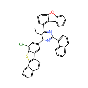 CCC1C(c2cccc3oc4ccccc4c23)=NC(c2cccc3ccccc23)=NC1c1cc(Cl)c2sc3c4ccccc4ccc3c2c1